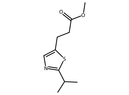 COC(=O)CCc1cnc(C(C)C)s1